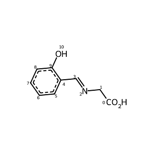 O=C(O)CN=Cc1ccccc1O